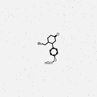 CCCCCCCCOc1ccc(C2CC(=O)CCC2CC(C)CC)cc1